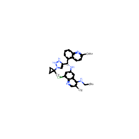 COc1ccc2c([C@H](Nc3cc(Cl)c4ncc(C#N)c(NCC(C)(C)C)c4c3)C3=CN(C4(C(F)(F)F)CC4)NN3)cccc2n1